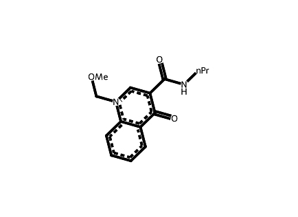 CCCNC(=O)c1cn(COC)c2ccccc2c1=O